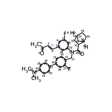 CC(=O)/C=C/c1cc(F)cc(N(Cc2ccc(-c3ccc(N(C)C)cc3)cc2F)C(=O)C2C[C@H]3CC[C@@H]2C3)c1